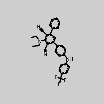 CCN(CC)c1c(C#N)c(-c2ccccc2)cc(-c2ccc(Nc3ccc(C(F)(F)F)cc3)cc2)c1C#N